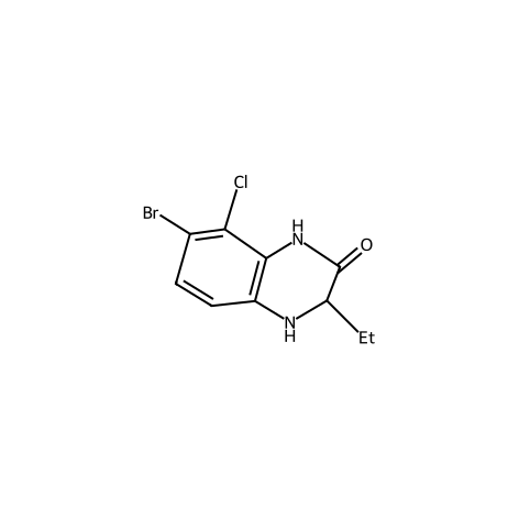 CCC1Nc2ccc(Br)c(Cl)c2NC1=O